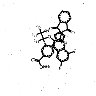 [2H]C([2H])([2H])C([2H])(Oc1cc2cc(F)cc(F)c2nc1N1C(=O)c2ccccc2C1=O)c1cc(C(=O)OC)ccc1-n1cccn1